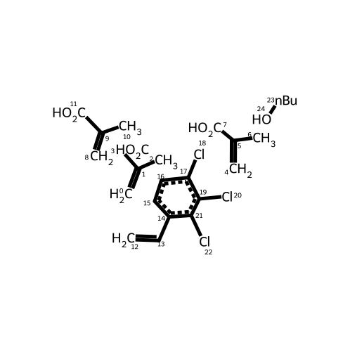 C=C(C)C(=O)O.C=C(C)C(=O)O.C=C(C)C(=O)O.C=Cc1ccc(Cl)c(Cl)c1Cl.CCCCO